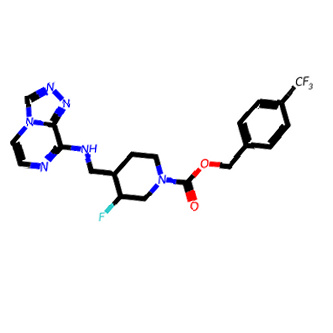 O=C(OCc1ccc(C(F)(F)F)cc1)N1CCC(CNc2nccn3cnnc23)C(F)C1